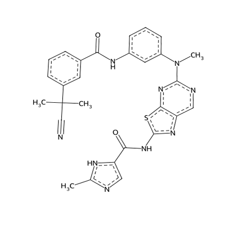 Cc1ncc(C(=O)Nc2nc3cnc(N(C)c4cccc(NC(=O)c5cccc(C(C)(C)C#N)c5)c4)nc3s2)[nH]1